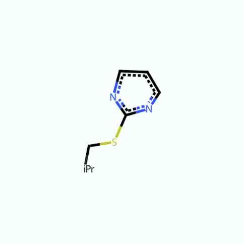 CC(C)CSc1ncccn1